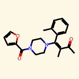 CC(=O)/C(C)=C(\c1ccccc1C)N1CCN(C(=O)c2ccco2)CC1